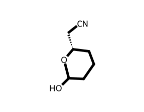 N#CC[C@@H]1CCCC(O)O1